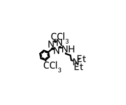 CCN(CC)CCCNc1nc(-c2cccc(C(Cl)(Cl)Cl)c2)nc(C(Cl)(Cl)Cl)n1